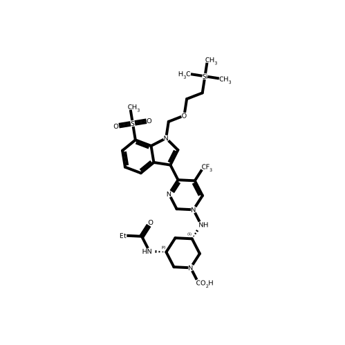 CCC(=O)N[C@@H]1C[C@H](NN2C=C(C(F)(F)F)C(c3cn(COCC[Si](C)(C)C)c4c(S(C)(=O)=O)cccc34)=NC2)CN(C(=O)O)C1